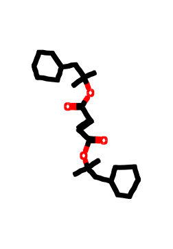 CC(C)(CC1CCCCC1)OC(=O)/C=C/C(=O)OC(C)(C)CC1CCCCC1